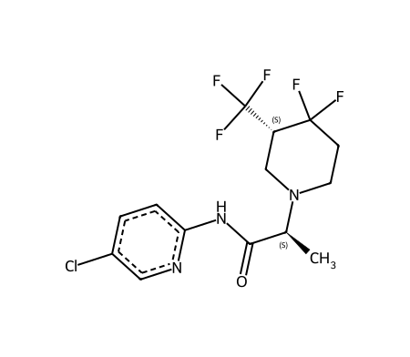 C[C@@H](C(=O)Nc1ccc(Cl)cn1)N1CCC(F)(F)[C@@H](C(F)(F)F)C1